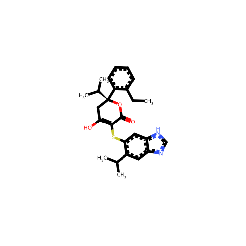 CCc1ccccc1[C@@]1(C(C)C)CC(O)=C(Sc2cc3[nH]cnc3cc2C(C)C)C(=O)O1